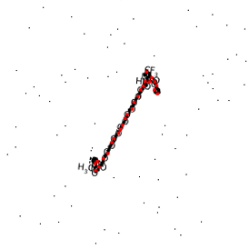 CN1C(=O)C[C@H](C(=O)NCCOCCOCCOCCOCCOCCOCCOCCOCCOCCOCCOCCOCCC(=O)N[C@@H]2CN(C(=O)OCc3ccccc3)Cc3cc(C(F)(F)F)cnc32)[C@H]1c1cccnc1